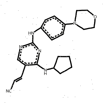 N#CC=Cc1cnc(Nc2ccc(N3CCOCC3)cc2)nc1NC1CCCC1